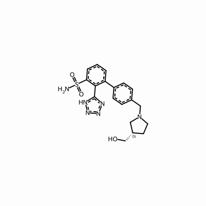 NS(=O)(=O)c1cccc(-c2ccc(CN3CC[C@H](CO)C3)cc2)c1-c1nnn[nH]1